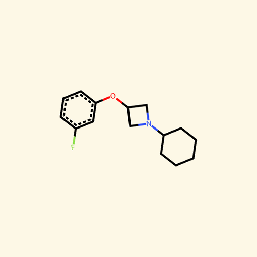 Fc1cccc(OC2CN(C3CCCCC3)C2)c1